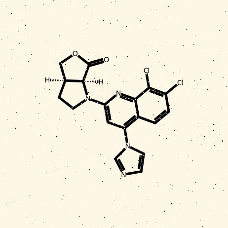 O=C1OC[C@@H]2CCN(c3cc(-n4ccnc4)c4ccc(Cl)c(Cl)c4n3)[C@H]12